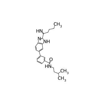 CCCCC(=N)c1nc2ccc(-c3cccc(C(=O)NCCC(C)C)c3)cc2[nH]1